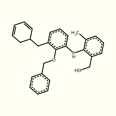 Cc1cccc(CO)c1Pc1cccc(CC2C=CC=CC2)c1OCc1ccccc1